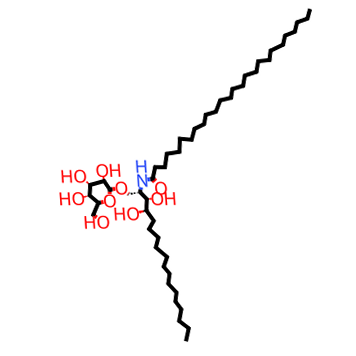 CCCCCCCCCCCCCCCCCCCCCCCCCC(=O)N[C@@H](COC1OC(CO)[C@H](O)[C@H](O)[C@@H]1O)[C@H](O)[C@H](O)CCCCCCCCCCCCCC